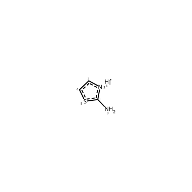 Nc1nccs1.[Hf]